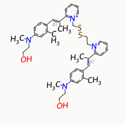 C/C(=C\c1ccc(N(C)CCO)cc1C)c1cccc[n+]1CCSSC[n+]1ccccc1/C(C)=C/c1ccc(N(C)CCO)cc1C